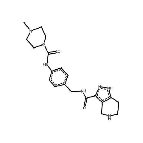 CN1CCN(C(=O)Nc2ccc(CNC(=O)c3n[nH]c4c3CNCC4)cc2)CC1